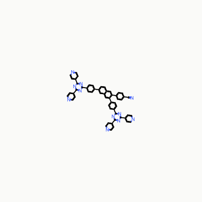 N#Cc1ccc(-c2cc3ccc(-c4ccc(-c5nc(-c6ccncc6)nc(-c6ccncc6)n5)cc4)cc3cc2-c2ccc(-c3nc(-c4ccncc4)nc(-c4ccncc4)n3)cc2)cc1